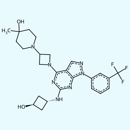 CC1(O)CCN(C2CN(c3nc(N[C@H]4C[C@H](O)C4)nc4c3cnn4-c3cccc(C(F)(F)F)c3)C2)CC1